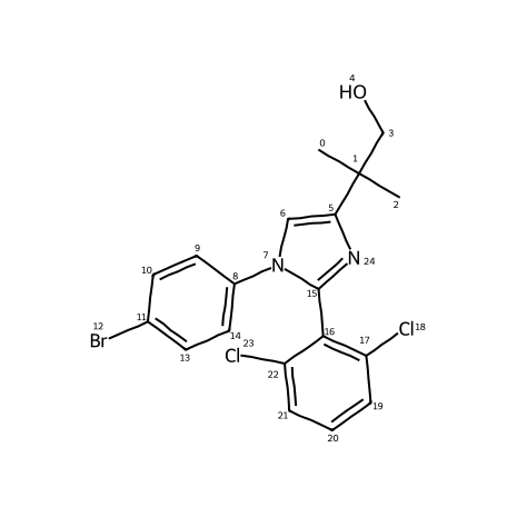 CC(C)(CO)c1cn(-c2ccc(Br)cc2)c(-c2c(Cl)cccc2Cl)n1